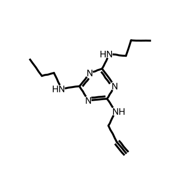 C#CCNc1nc(NCCC)nc(NCCC)n1